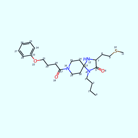 CCCCN1C(=O)C(CCSC)NC12CCN(C(=O)CCCOc1ccccc1)CC2